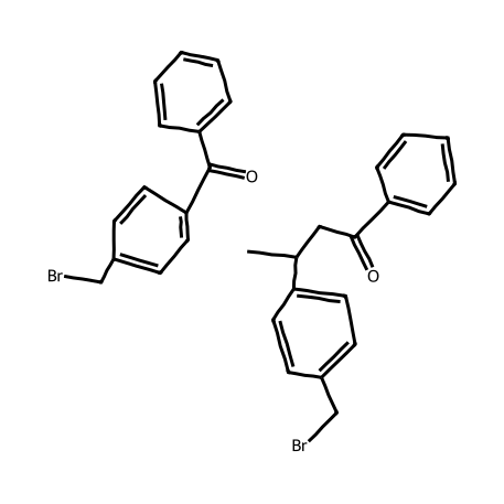 CC(CC(=O)c1ccccc1)c1ccc(CBr)cc1.O=C(c1ccccc1)c1ccc(CBr)cc1